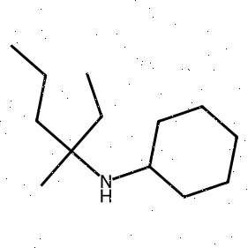 CCCC(C)(CC)NC1CCCCC1